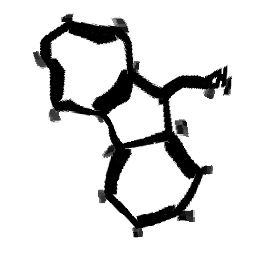 C=C1c2[c]cccc2-c2ccccc21